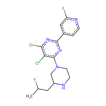 CC(F)CC1CN(c2nc(-c3ccnc(F)c3)nc(Cl)c2Cl)CCN1